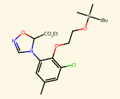 CCOC(=O)C1ON=CN1c1cc(C)cc(Cl)c1OCCO[Si](C)(C)C(C)(C)C